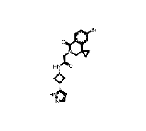 O=C(CN1CC2(CC2)c2cc(Br)ccc2C1=O)N[C@H]1C[C@@H](c2ccn[nH]2)C1